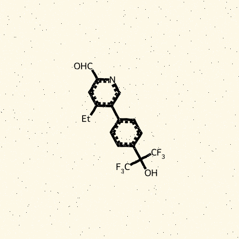 CCc1cc(C=O)ncc1-c1ccc(C(O)(C(F)(F)F)C(F)(F)F)cc1